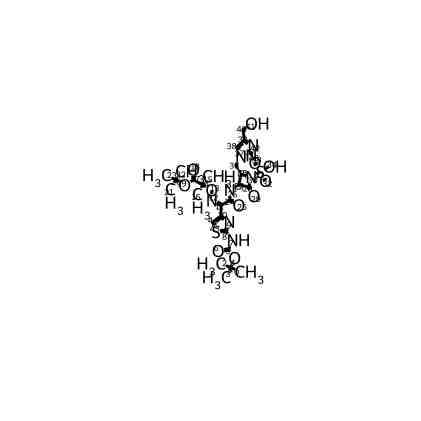 CC(C)(C)OC(=O)Nc1nc(C(=NOC(C)(C)C(=O)OC(C)(C)C)C(=O)N[C@@H]2C(=O)N(S(=O)(=O)O)[C@@H]2Cn2cc(CO)nn2)cs1